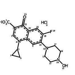 Cl.O=C(O)c1cn(C2CC2)c2cc(N3CCN(O)CC3)c(F)cc2c1=O